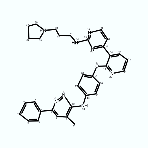 Cc1cc(-c2ccccc2)nnc1Nc1ccc(Oc2ncccc2-c2ccnc(NCCCN3CCCC3)n2)cc1